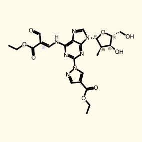 CCOC(=O)/C(C=O)=C/Nc1nc(-n2cc(C(=O)OCC)cn2)nc2c1ncn2[C@@H]1O[C@H](CO)[C@@H](O)[C@H]1C